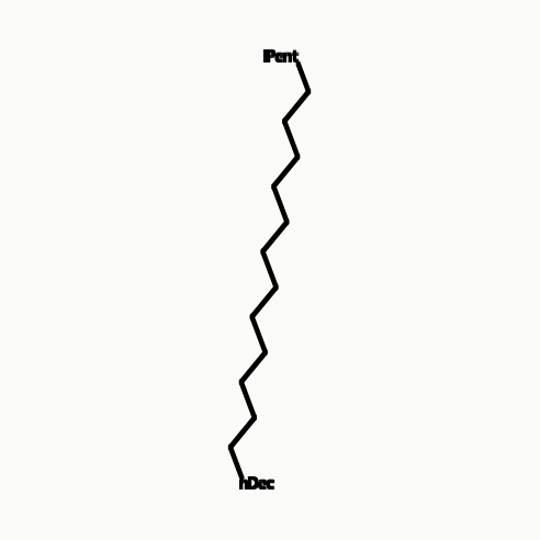 [CH2]C(CCC)CCCCCCCCCCCCCCCCCCCCCC